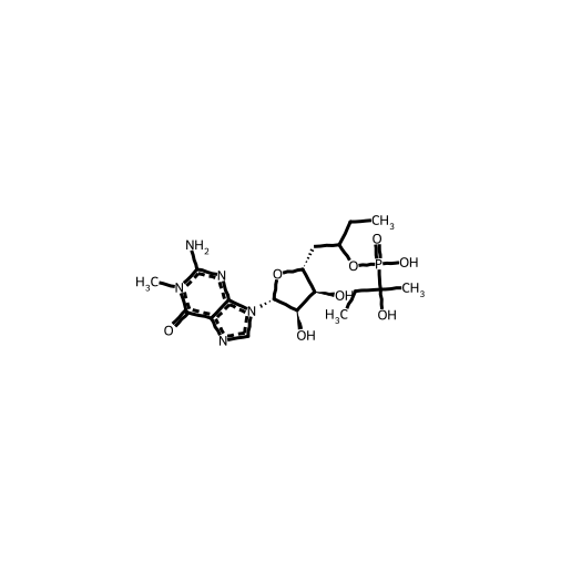 CCC(C[C@H]1O[C@@H](n2cnc3c(=O)n(C)c(N)nc32)[C@H](O)[C@@H]1O)OP(=O)(O)C(C)(O)CC